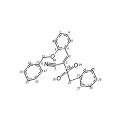 N#CC(=Cc1ccccc1OCc1ccccc1)S(=O)(=O)Cc1ccccc1